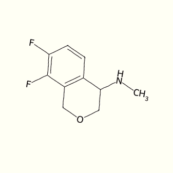 CNC1COCc2c1ccc(F)c2F